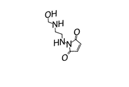 O=C1C=CC(=O)N1NCCNCO